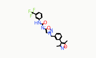 Cc1noc(C)c1-c1cccc(C[n+]2cc([N-]C(=O)Nc3cccc(C(F)(F)F)c3)on2)c1